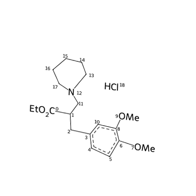 CCOC(=O)C(Cc1ccc(OC)c(OC)c1)CN1CCCCC1.Cl